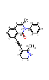 CCc1cc2cccc(C#Cc3cccnc3C)c2c(=O)n1-c1ccccc1